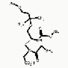 BCC(=O)N(CC(=O)O)C[C@H](COC(C)(C)CCOC(C)(C)C)NC(=O)OC(C)(C)C